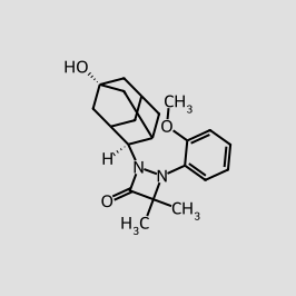 COc1ccccc1N1N([C@H]2C3CC4CC2C[C@](O)(C4)C3)C(=O)C1(C)C